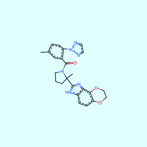 Cc1ccc(-n2nccn2)c(C(=O)N2CCCC2(C)c2nc3c4c(ccc3[nH]2)OCCO4)c1